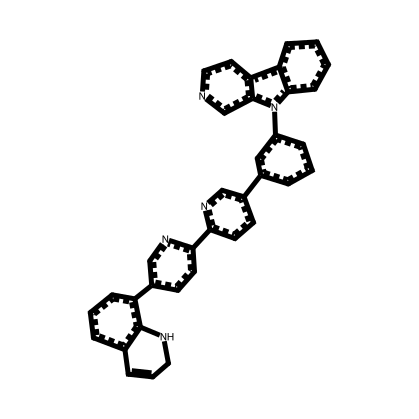 C1=Cc2cccc(-c3ccc(-c4ccc(-c5cccc(-n6c7ccccc7c7ccncc76)c5)cn4)nc3)c2NC1